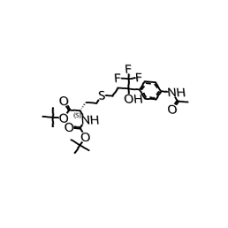 CC(=O)Nc1ccc(C(O)(CCSCC[C@H](NC(=O)OC(C)(C)C)C(=O)OC(C)(C)C)C(F)(F)F)cc1